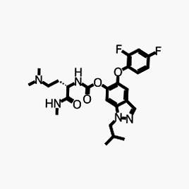 CNC(=O)[C@H](CCN(C)C)NC(=O)Oc1cc2c(cnn2CC(C)C)cc1Oc1ccc(F)cc1F